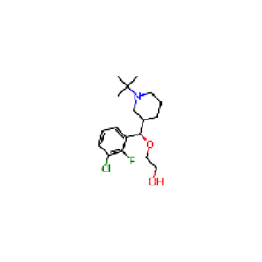 CC(C)(C)N1CCCC([C@@H](OCCO)c2cccc(Cl)c2F)C1